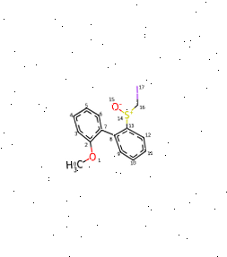 COc1ccccc1-c1ccccc1[S+]([O-])CI